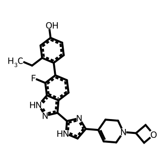 CCc1cc(O)ccc1-c1ccc2c(-c3nc(C4=CCN(C5COC5)CC4)c[nH]3)n[nH]c2c1F